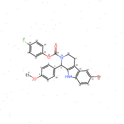 CCOc1ccc(C2c3[nH]c4ccc(Br)cc4c3CCN2C(=O)Oc2ccc(F)cc2)cc1